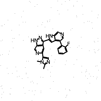 Cc1ncc(-c2cc3c(-c4cc5c(-c6ccccc6F)cncc5[nH]4)n[nH]c3cn2)n1C